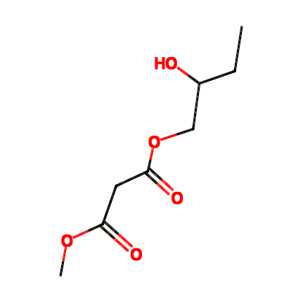 CCC(O)COC(=O)CC(=O)OC